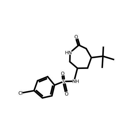 CC(C)(C)C1CC(=O)NCC(NS(=O)(=O)c2ccc(Cl)cc2)C1